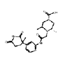 CC1CN(C(=O)O)C[C@H](C)N1CC(=O)Nc1cc(C2(C)CCC(=O)NC2=O)ccn1